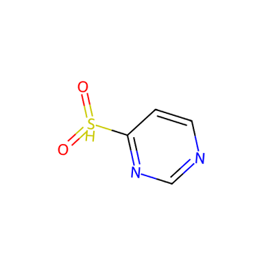 O=[SH](=O)c1ccncn1